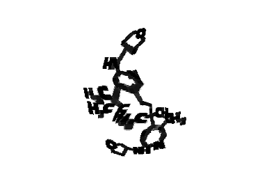 Cc1cnc(NC2CCOC2)cc1C(C)(C)CCc1cnc(NC2CCOCC2)cc1C(C)(C)C